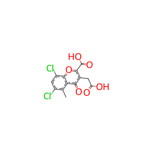 Cc1c(Cl)cc(Cl)c2oc(C(=O)O)c(CC(=O)O)c(=O)c12